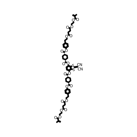 C=C(C)C(=O)OCCOC(=O)CCC(=O)OCCc1ccc(OC(=O)[C@H]2CC[C@H](C(=O)Oc3ccc(OC(=O)[C@H]4CC[C@H](C(=O)Oc5ccc(CCOC(=O)CCC(=O)OCCOC(=O)C(=C)C)cc5)CC4)c4c3SC(=C(C#N)C#N)S4)CC2)cc1